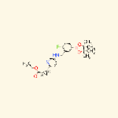 CCOC(=O)[C@@H]1C[C@H]1c1ccc(NCc2cc(B3OC(C)(C)C(C)(C)O3)ccc2F)cn1